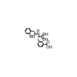 O=C(Cc1ccccc1Br)N[C@@H](Cc1cccc(C(=O)O)c1)B(O)O